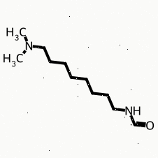 CN(C)CCCCCCCCN[C]=O